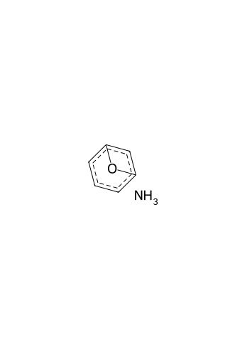 N.c1cc2cc(c1)O2